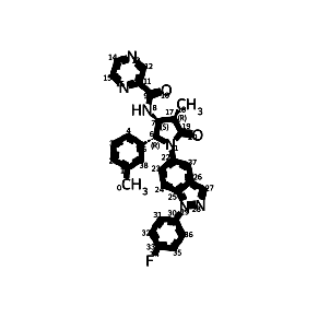 Cc1cccc([C@@H]2[C@@H](NC(=O)c3cnccn3)[C@@H](C)C(=O)N2c2ccc3c(cnn3-c3ccc(F)cc3)c2)c1